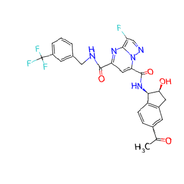 CC(=O)c1ccc2c(c1)C[C@H](O)[C@@H]2NC(=O)c1cc(C(=O)NCc2cccc(C(F)(F)F)c2)nc2c(F)cnn12